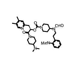 CNc1ccccc1CCN(C=O)C1CCN(C(=O)O[C@H](Cc2cc(C)c(C)cn2)C(=O)N2CCC(N(C)C)CC2)CC1